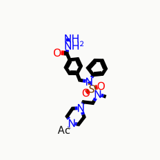 CC(=O)N1CCN(CCN(C)S(=O)(=O)N(Cc2ccc(C(=O)NN)cc2)c2ccccc2)CC1